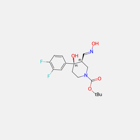 CC(C)(C)OC(=O)N1CC[C@](O)(c2ccc(F)c(F)c2)[C@@H](C=NO)C1